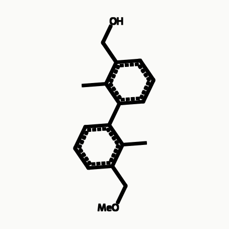 COCc1cccc(-c2cccc(CO)c2C)c1C